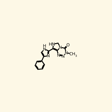 CN1N=NC2=C(c3nc(-c4ccccc4)c[nH]3)NCN2C1=O